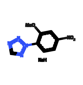 COc1cc([N+](=O)[O-])ccc1-n1ncnn1.[NaH]